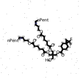 CCCCC/C=C\CCOC(=O)CCCCC(=O)OCC(CO)(COC(=O)CCCCC(=O)OCC/C=C\CCCCC)COC(=O)C1CCC2(CC1)CC2(F)F